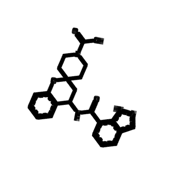 O=C(NC1CC2(CCN(C(=O)O)CC2)Oc2ccccc21)c1cccc2cn[nH]c12